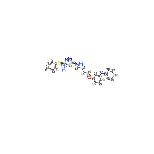 Cc1ccc(SNc2nnc(NCCCCOc3cccc(CN4CCCCC4)c3)s2)cc1